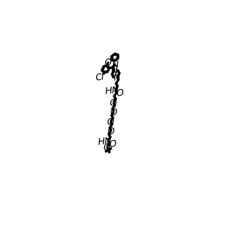 CC(C)(C)OC(=O)NCCOCCOCCOCCOCCC(=O)NCCCN1CCN(C2=Nc3ccccc3Oc3ccc(Cl)cc32)CC1